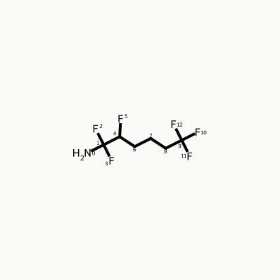 NC(F)(F)C(F)CCCC(F)(F)F